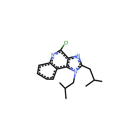 CC(C)Cc1nc2c(Cl)nc3ccccc3c2n1CC(C)C